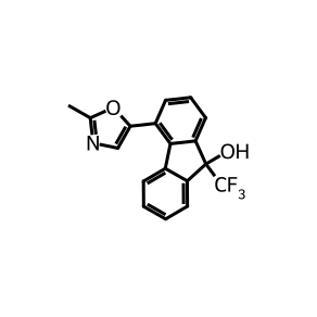 Cc1ncc(-c2cccc3c2-c2ccccc2C3(O)C(F)(F)F)o1